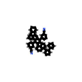 N#Cc1cccc(-c2c3cc4c5ccccc5c5cccc(c3c(-c3cccc(C#N)c3)c3c6cccc7c(-c8ccccc8-c8ccccc8)ccc(c23)c76)c54)c1